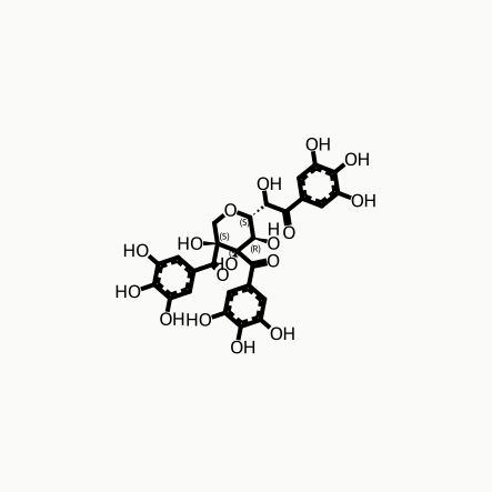 O=C(c1cc(O)c(O)c(O)c1)C(O)[C@H]1OC[C@@](O)(C(=O)c2cc(O)c(O)c(O)c2)[C@](O)(C(=O)c2cc(O)c(O)c(O)c2)[C@@H]1O